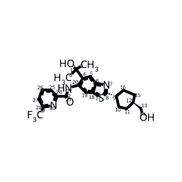 CC(C)(O)c1cc2nc([C@H]3CC[C@H](CO)CC3)sc2cc1NC(=O)c1cccc(C(F)(F)F)n1